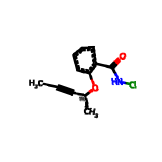 CC#C[C@H](C)Oc1ccccc1C(=O)NCl